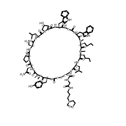 CCCC[C@H]1C(=O)N(C)[C@@H](CCCC)C(=O)N[C@@H](CC(C)C)C(=O)N[C@H](C(=O)NCC(=O)NCCCN2CCOCC2)CSCC(=O)N[C@@H](Cc2ccc(O)cc2)C(=O)N(C)[C@@H](C)C(=O)N[C@@H](CC(N)=O)C(=O)N2CCC[C@H]2C(=O)N[C@@H](CN)C(=O)N[C@@H](CC(C)C)C(=O)N2C[C@H](O)C[C@H]2C(=O)N[C@@H](Cc2c[nH]c3ccccc23)C(=O)NCC(=O)NC(Cc2c[nH]c3ccccc23)C(=O)N1C